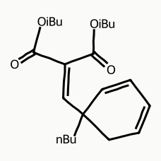 CCCCC1(C=C(C(=O)OCC(C)C)C(=O)OCC(C)C)C=CC=CC1